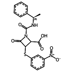 C[C@@H](NC(=O)N1C(=O)C(Sc2cccc([N+](=O)[O-])c2)C1C(=O)O)c1ccccc1